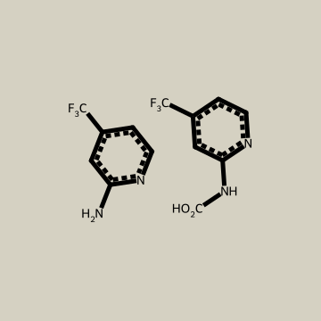 Nc1cc(C(F)(F)F)ccn1.O=C(O)Nc1cc(C(F)(F)F)ccn1